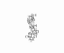 O=C(Nc1nc2nc(O[C@@H]3CO[C@H]4[C@@H]3OC[C@H]4O)[nH]c2cc1Cl)c1c(Cl)cccc1Cl